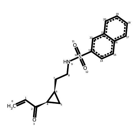 C=CC(=O)[C@@H]1C[C@@H]1CCNS(=O)(=O)c1ccc2ccccc2c1